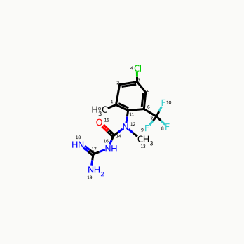 Cc1cc(Cl)cc(C(F)(F)F)c1N(C)C(=O)NC(=N)N